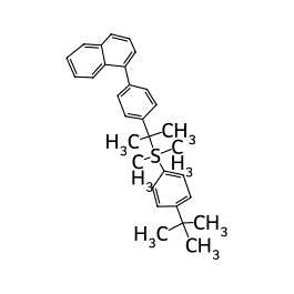 CC(C)(C)c1ccc(S(C)(C)C(C)(C)c2ccc(-c3cccc4ccccc34)cc2)cc1